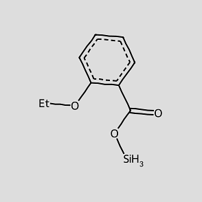 CCOc1ccccc1C(=O)O[SiH3]